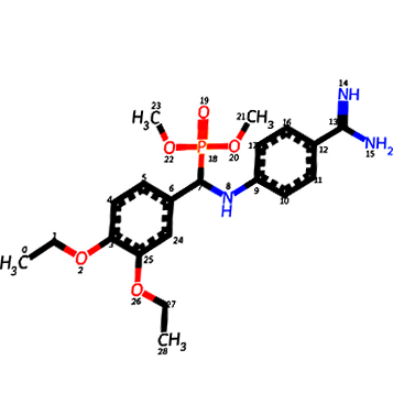 CCOc1ccc(C(Nc2ccc(C(=N)N)cc2)P(=O)(OC)OC)cc1OCC